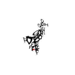 O=C1C[C@H](C(=O)N[C@@H]2CC[C@@]3(S(=O)(=O)c4ccc(F)cc4)c4ccc(C(F)(C(F)(F)F)C(F)(F)F)cc4CC[C@@H]23)CN1